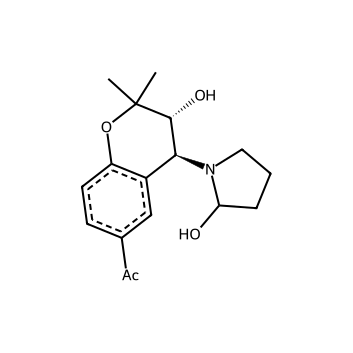 CC(=O)c1ccc2c(c1)[C@H](N1CCCC1O)[C@@H](O)C(C)(C)O2